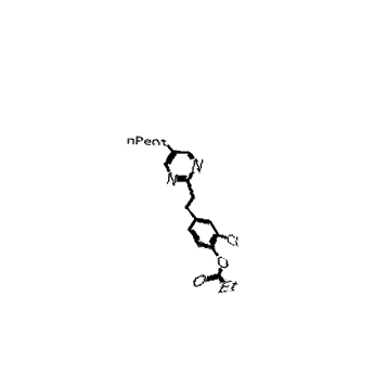 CCCCCc1cnc(CCc2ccc(OC(=O)CC)c(Cl)c2)nc1